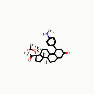 CNc1ccc(C2CC(=O)C=C3CC[C@@H]4C(=C32)CC[C@@]2(C)[C@H]4CC[C@]2(OC(C)=O)C(C)=O)cc1